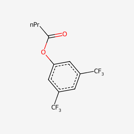 CCCC(=O)Oc1cc(C(F)(F)F)cc(C(F)(F)F)c1